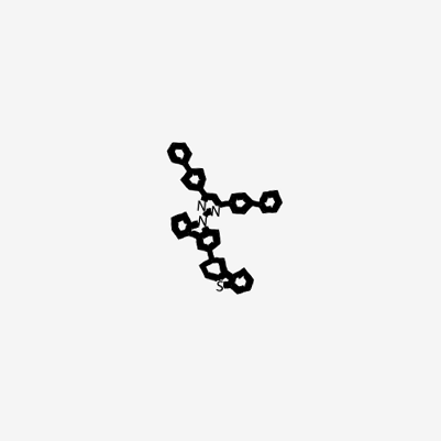 C1=c2sc3ccccc3c2=CC(c2ccc3c(c2)c2ccccc2n3-c2nc(-c3ccc(-c4ccccc4)cc3)cc(-c3ccc(-c4ccccc4)cc3)n2)C1